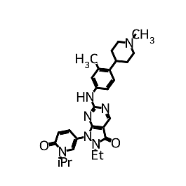 CCn1c(=O)c2cnc(Nc3ccc(C4CCN(C)CC4)c(C)c3)nc2n1-c1ccc(=O)n(C(C)C)c1